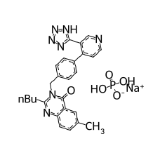 CCCCc1nc2ccc(C)cc2c(=O)n1Cc1ccc(-c2ccncc2-c2nnn[nH]2)cc1.O=P([O-])(O)O.[Na+]